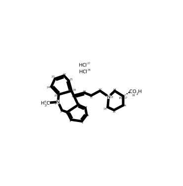 CN1Cc2ccccc2C(=CCCN2CCC[C@@H](C(=O)O)C2)c2ccccc21.Cl.Cl